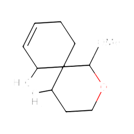 COC1OCCC(C)C12CCC=CC2C